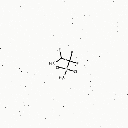 CC(F)C(F)(F)[Si](C)(Cl)Cl